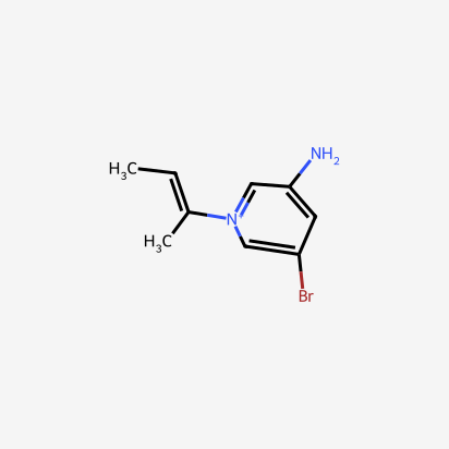 C/C=C(\C)[n+]1cc(N)cc(Br)c1